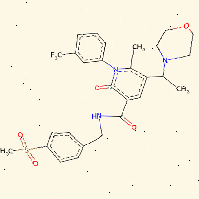 Cc1c(C(C)N2CCOCC2)cc(C(=O)NCc2ccc(S(C)(=O)=O)cc2)c(=O)n1-c1cccc(C(F)(F)F)c1